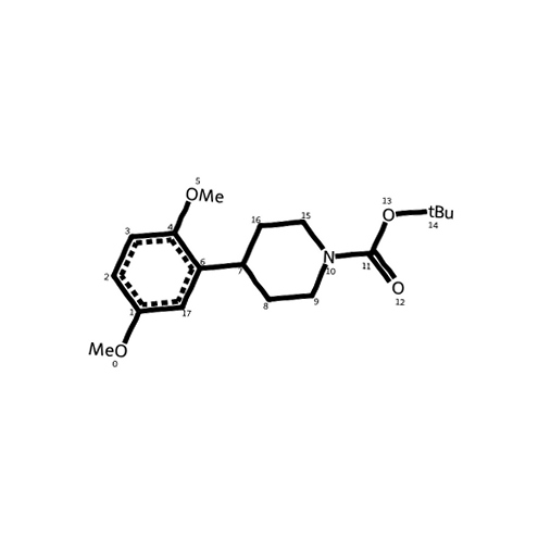 COc1ccc(OC)c(C2CCN(C(=O)OC(C)(C)C)CC2)c1